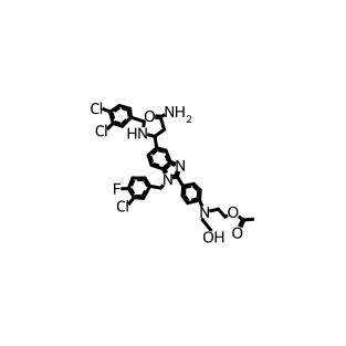 CC(=O)OCCN(CCO)c1ccc(-c2nc3cc(C(CC(N)=O)NCc4ccc(Cl)c(Cl)c4)ccc3n2Cc2ccc(F)c(Cl)c2)cc1